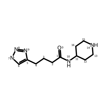 O=C(CCCC1=C[N]N=N1)NC1CCNCC1